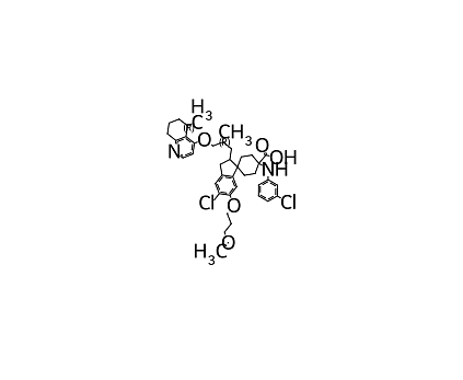 COCCCOc1cc2c(cc1Cl)CC(C[C@@H](C)COc1ccnc3c1[C@H](C)CCC3)C21CCC(Nc2cccc(Cl)c2)(C(=O)O)CC1